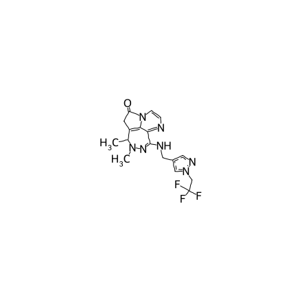 CC1C2=C3C(=NC=CN3C(=O)C2)C(NCc2cnn(CC(F)(F)F)c2)=NN1C